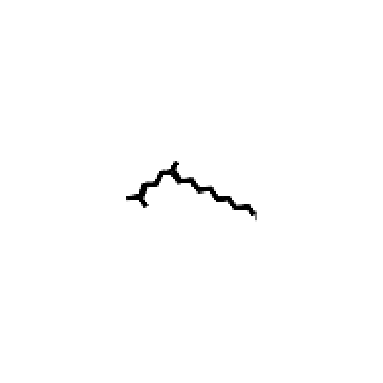 CC(C)=CCCC(C)=CCCCCCCCI